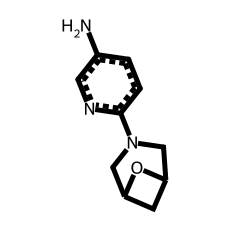 Nc1ccc(N2CC3CC(C2)O3)nc1